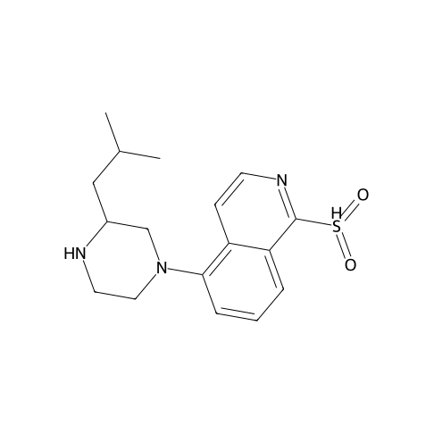 CC(C)CC1CN(c2cccc3c([SH](=O)=O)nccc23)CCN1